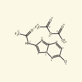 O=C(Nc1cn2nc(Cl)ccc2n1)C(F)(F)F.O=C(OC(=O)C(F)(F)F)C(F)(F)F